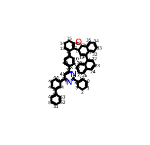 C1=CCCC(c2nc(-c3ccc(C4=CCCC5=C4C4C=C(c6cccc7ccccc67)c6ccccc6C4O5)cc3)cc(-c3cccc(-c4ccccc4)c3)n2)=C1